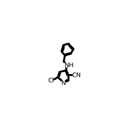 N#Cc1cnc(Cl)cc1NCc1ccccc1